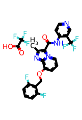 Cc1nc2c(OCc3c(F)cccc3F)cccn2c1C(=O)Nc1ccncc1C(F)(F)F.O=C(O)C(F)(F)F